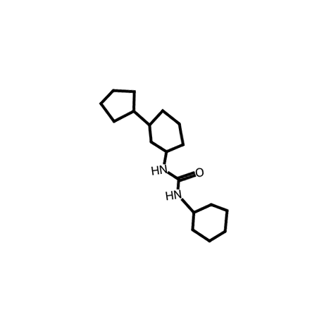 O=C(NC1CCCCC1)NC1CCCC(C2CCCC2)C1